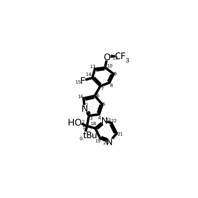 CC(C)(C)C(O)(c1ccc(-c2ccc(OC(F)(F)F)cc2F)cn1)c1cnccn1